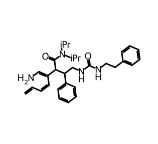 C=C/C=C\C(=C/N)C(C(=O)N(C(C)C)C(C)C)C(CNC(=O)NCCc1ccccc1)c1ccccc1